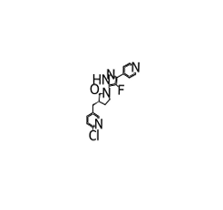 O=C1[C@H](Cc2ccc(Cl)nc2)CCN1c1[nH]nc(-c2ccncc2)c1F